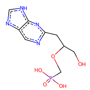 O=P(O)(O)COC(CO)Cc1ncc2nc[nH]c2n1